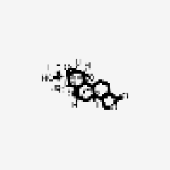 CCO[C@@H]1[C@@]2(C(C)(C)O)O[C@H]2[C@@H]2O[C@]23[C@]12O[C@H]2C[C@H]1C2=C(CC[C@@]13C)C(=O)OC2